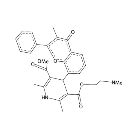 CNCCOC(=O)C1=C(C)NC(C)=C(C(=O)OC)C1c1cccc2c(=O)c(C)c(-c3ccccc3)oc12